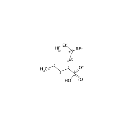 CCCCS(=O)(=O)O.CCN(CC)CC.F